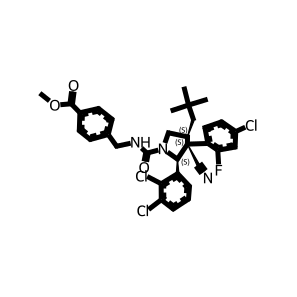 COC(=O)c1ccc(CNC(=O)N2C[C@@H](CC(C)(C)C)[C@](C#N)(c3ccc(Cl)cc3F)[C@H]2c2cccc(Cl)c2Cl)cc1